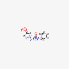 O=C(CN1CCC(O)C1)Nc1ccccc1